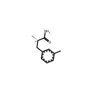 Cc1cccc(C[C@H](C)C(N)=O)c1